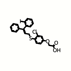 O=C(O)COc1ccc(SCC=C(c2ccccc2)c2ccccc2I)c(Cl)c1